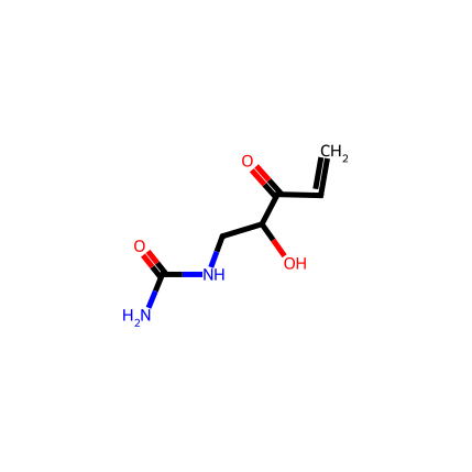 C=CC(=O)C(O)CNC(N)=O